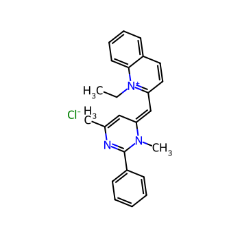 CC[n+]1c(C=C2C=C(C)N=C(c3ccccc3)N2C)ccc2ccccc21.[Cl-]